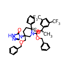 C[C@@H](OC[C@@]1(c2ccccc2)CC[C@@](COCc2ccccc2)(n2cn[nH]c2=O)CN1C(=O)OCc1ccccc1)c1cc(C(F)(F)F)cc(C(F)(F)F)c1